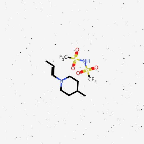 CC=CN1CCC(C)CC1.O=S(=O)(NS(=O)(=O)C(F)(F)F)C(F)(F)F